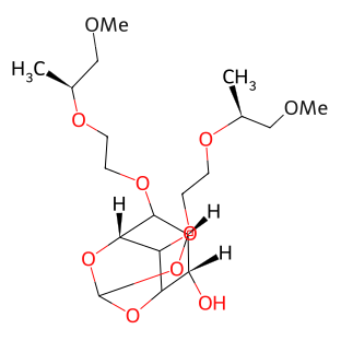 COC[C@H](C)OCCOC1C2OC3O[C@@H]1C(OCCO[C@@H](C)COC)[C@@H](O3)[C@@H]2O